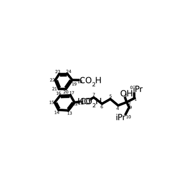 CC(C)CC(O)(CCCCO)CC(C)C.O=C(O)c1ccccc1.O=C(O)c1ccccc1